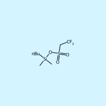 CCCC[Si](C)(C)OS(=O)(=O)CC(F)(F)F